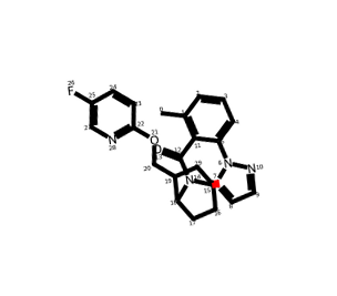 Cc1cccc(-n2nccn2)c1C(=O)N1C2CCC1C(COc1ccc(F)cn1)C2